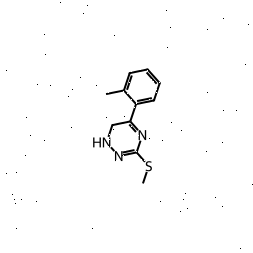 CSC1=NNCC(c2ccccc2C)=N1